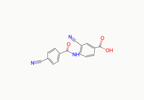 N#Cc1ccc(C(=O)Nc2ccc(C(=O)O)cc2C#N)cc1